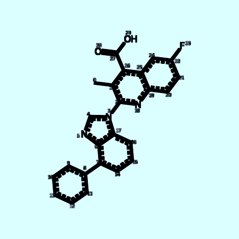 Cc1c(-n2cnc3c(-c4ccccc4)cccc32)nc2ccc(F)cc2c1C(=O)O